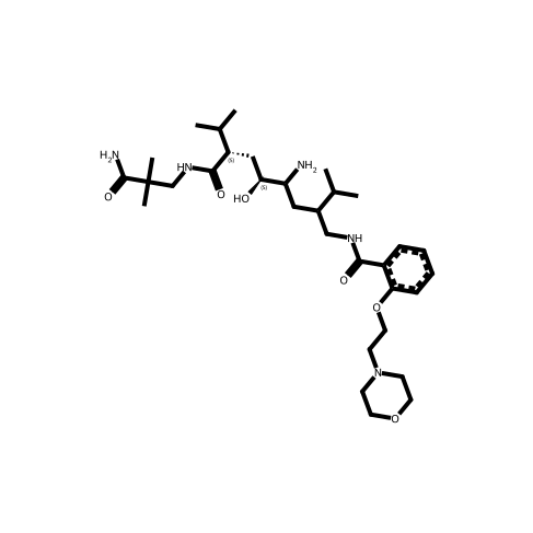 CC(C)C(CNC(=O)c1ccccc1OCCN1CCOCC1)CC(N)[C@@H](O)C[C@H](C(=O)NCC(C)(C)C(N)=O)C(C)C